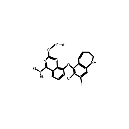 CCCCCOc1nc(N(CC)CC)c2cccc(Oc3c(Cl)c(F)cc4c3C=CCCN4)c2n1